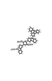 CCCCCCn1c2ccccc2c2cc(-c3cc(OC)c(-c4ccc5c(c4)c4ccccc4n5-c4cc5c6ccccc6n6c7ccccc7c(c4)c56)cc3OC)ccc21